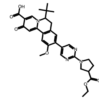 CCOC(=O)C1CCN(c2ncc(-c3cc4c(cc3OC)-c3cc(=O)c(C(=O)O)cn3C(C(C)(C)C)C4)cn2)C1